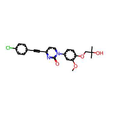 COc1cc(-n2ccc(C#Cc3ccc(Cl)cc3)nc2=O)ccc1OCC(C)(C)O